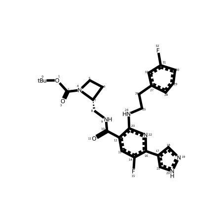 CC(C)(C)OC(=O)N1CC[C@@H]1CNC(=O)c1cc(F)c(-c2cn[nH]c2)nc1NCCc1cccc(F)c1